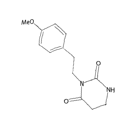 COc1ccc(CCN2C(=O)CCNC2=O)cc1